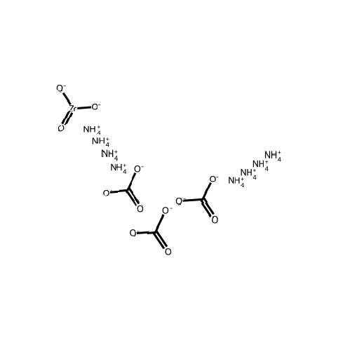 O=C([O-])[O-].O=C([O-])[O-].O=C([O-])[O-].[NH4+].[NH4+].[NH4+].[NH4+].[NH4+].[NH4+].[NH4+].[NH4+].[O]=[Zr]([O-])[O-]